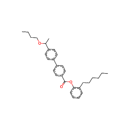 CCCCCCc1ccccc1OC(=O)c1ccc(-c2ccc(C(C)OCCCC)cc2)cc1